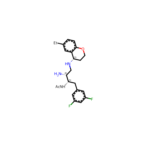 CCc1ccc2c(c1)[C@@H](NC[C@@H](N)[C@H](Cc1cc(F)cc(F)c1)NC(C)=O)CCO2